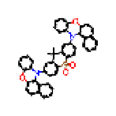 CC1(C)c2cc(N3c4ccccc4Oc4ccc5ccccc5c43)ccc2S(=O)(=O)c2ccc(N3c4ccccc4Oc4ccc5ccccc5c43)cc21